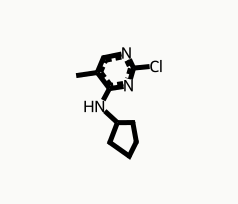 Cc1cnc(Cl)nc1NC1CCCC1